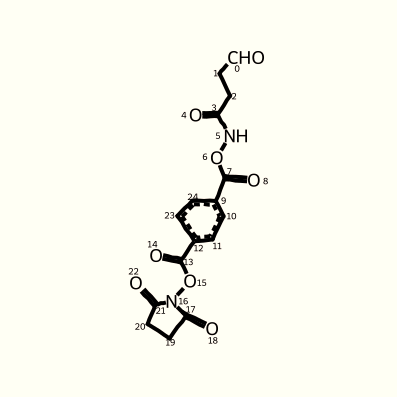 O=CCCC(=O)NOC(=O)c1ccc(C(=O)ON2C(=O)CCC2=O)cc1